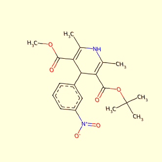 COC(=O)C1=C(C)NC(C)=C(C(=O)OC(C)(C)C)C1c1cccc([N+](=O)[O-])c1